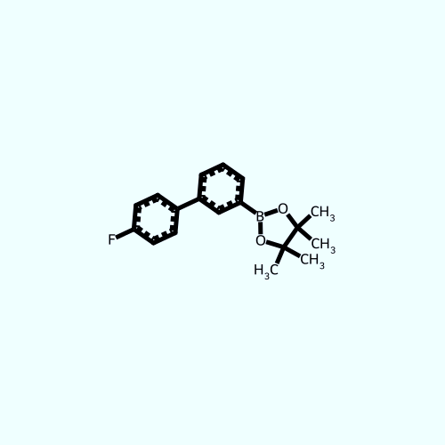 CC1(C)OB(c2cccc(-c3ccc(F)cc3)c2)OC1(C)C